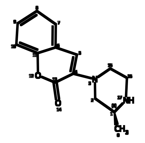 C[C@H]1CN(c2cc3ccccc3oc2=O)CCN1